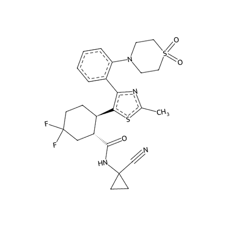 Cc1nc(-c2ccccc2N2CCS(=O)(=O)CC2)c([C@@H]2CCC(F)(F)C[C@H]2C(=O)NC2(C#N)CC2)s1